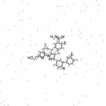 Cc1ccc(-c2cc(-c3nn(-c4nc(C(=O)O)cs4)c(CC4CC4)c3Cc3ccc([S+](N)[O-])c(F)c3)ccc2F)cc1F